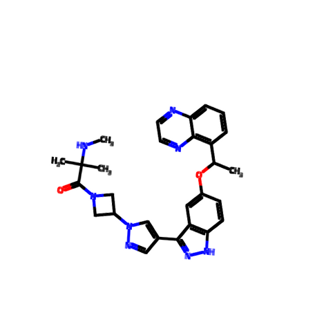 CNC(C)(C)C(=O)N1CC(n2cc(-c3n[nH]c4ccc(OC(C)c5cccc6nccnc56)cc34)cn2)C1